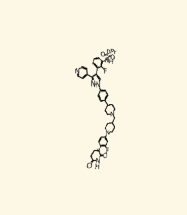 CCCS(=O)(=O)Nc1cccc(-c2cn(-c3ccc(C4CCN(CC5CCN(c6ccc([C@@H]7CCC(=O)NC7=O)c(F)c6)CC5)CC4)cc3)nc2-c2ccncc2)c1F